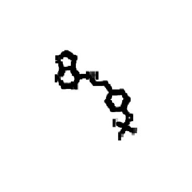 FC(F)(F)Oc1ccc(CCNc2ncnc3sccc23)cc1